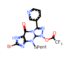 CCCCCN1c2nc(Br)[nH]c2C(=O)N2C(c3cccnc3)=NN(OC(=O)C(F)(F)F)C21